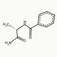 C[C@H](NC(=O)c1ccccc1)C(N)=O